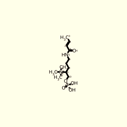 CC=CC(=O)NCCCC(COP(=O)(O)O)[N+](C)(C)C